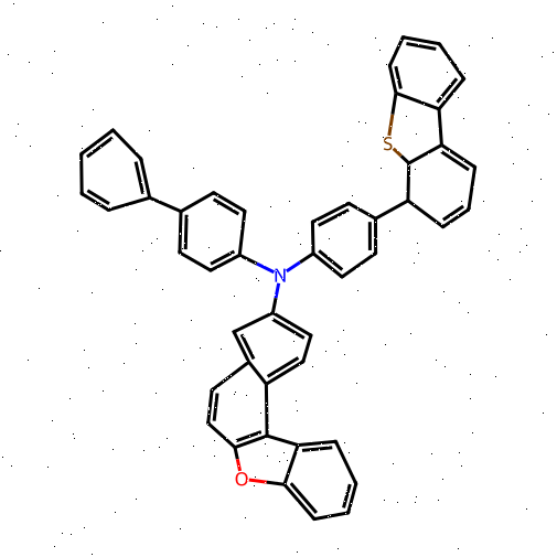 C1=CC(c2ccc(N(c3ccc(-c4ccccc4)cc3)c3ccc4c(ccc5oc6ccccc6c54)c3)cc2)C2Sc3ccccc3C2=C1